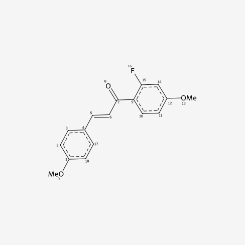 COc1ccc(C=CC(=O)c2ccc(OC)cc2F)cc1